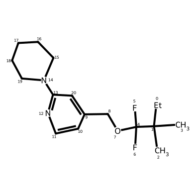 CCC(C)(C)C(F)(F)OCc1ccnc(N2CCCCC2)c1